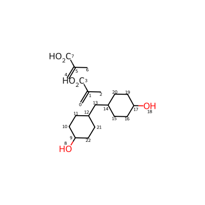 C=C(C)C(=O)O.C=C(C)C(=O)O.OC1CCC(CC2CCC(O)CC2)CC1